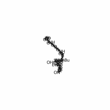 CCCCN(CCSSC(C)(C)CC(=O)NCCOCCOCCOCCNC(=O)CCN1C(=O)C=CC1=O)C(=O)Oc1cc2c(c3c(C=O)c(C)[nH]c13)[C@H](CC)CN2C(=O)c1cc2cc(N=O)ccc2o1